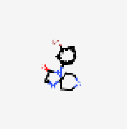 O=C1C=NC2(CCNCC2)N1c1cccc(Br)c1